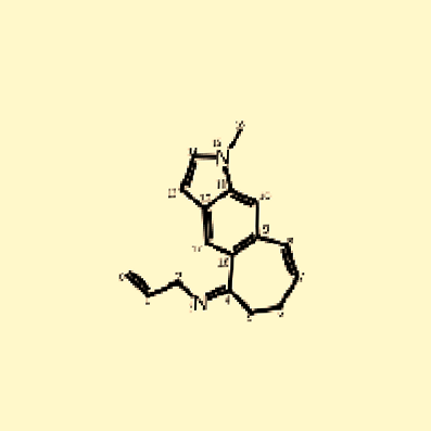 C=CC/N=C1/CCC=Cc2cc3c(ccn3C)cc21